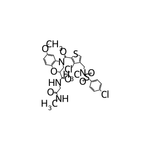 CNC(=O)CNC(=O)C1CN(C(=O)c2scc(CN(C)S(=O)(=O)c3ccc(Cl)cc3)c2Cl)c2cc(OC)ccc2O1